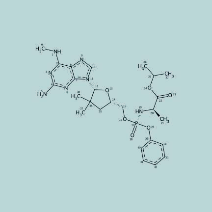 CNc1nc(N)nc2c1ncn2[C@@H]1O[C@H](CO[P@@](=O)(N[C@H](C)C(=O)OC(C)C)Oc2ccccc2)CC1(C)C